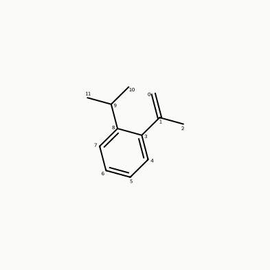 C=C(C)c1ccccc1C(C)C